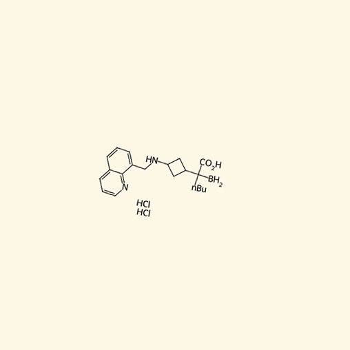 BC(CCCC)(C(=O)O)C1CC(NCc2cccc3cccnc23)C1.Cl.Cl